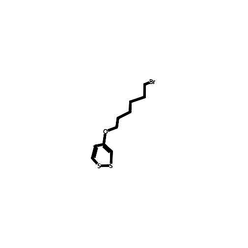 BrCCCCCCOC1=CSSC=[C]1